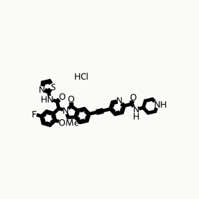 COc1ccc(F)cc1C(C(=O)Nc1nccs1)N1Cc2ccc(C#Cc3ccc(C(=O)NC4CCNCC4)nc3)cc2C1=O.Cl